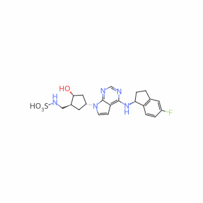 O=S(=O)(O)NC[C@@H]1C[C@@H](n2ccc3c(N[C@H]4CCc5cc(F)ccc54)ncnc32)C[C@@H]1O